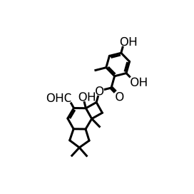 Cc1cc(O)cc(O)c1C(=O)OC1CC2(C)C3CC(C)(C)CC3C=C(C=O)C12O